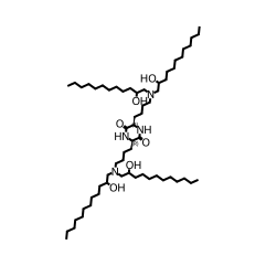 CCCCCCCCCCC(O)CN(CCCC[C@H]1NC(=O)[C@@H](CCCCN(CC(O)CCCCCCCCCC)CC(O)CCCCCCCCCC)NC1=O)CC(O)CCCCCCCCCC